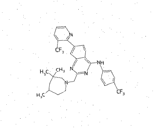 CC1CCN(Cc2nc(Nc3ccc(C(F)(F)F)cc3)c3ccc(-c4ncccc4C(F)(F)F)cc3n2)CC(C)(C)C1